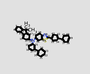 CC1(C)c2ccccc2-c2ccc(N(c3cccc(-c4ccccc4)c3)c3ccc4nc(-c5ccc(-c6ccccc6)cc5)sc4c3)cc21